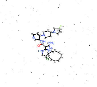 Nc1nn2c(c1C(=O)Nc1cnccc1N1CCC(N3CC[C@H](F)C3)CC1)NCC(Cl)C21CCCCCCCCC1